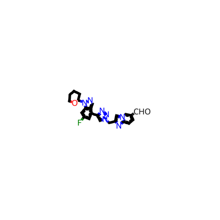 O=Cc1ccc2nc(Cn3cc(-c4cc(F)cc5c4cnn5C4CCCCO4)nn3)cn2c1